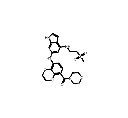 CS(=O)(=O)CCNc1cc(Nc2ccc(C(=O)N3CCOCC3)c3c2OCCO3)nc2[nH]ccc12